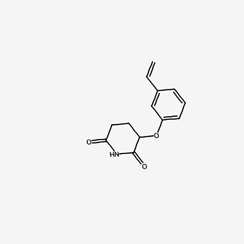 C=Cc1cccc(OC2CCC(=O)NC2=O)c1